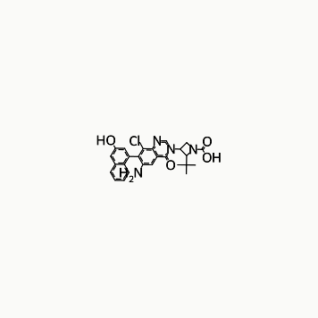 CC(C)(C)C1C(n2cnc3c(Cl)c(-c4cc(O)cc5ccccc45)c(N)cc3c2=O)CN1C(=O)O